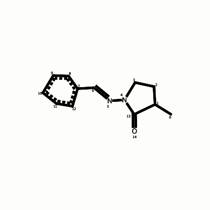 CC1CCN(N=Cc2ccccc2)C1=O